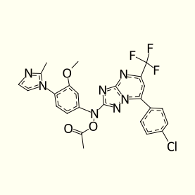 COc1cc(N(OC(C)=O)c2nc3nc(C(F)(F)F)cc(-c4ccc(Cl)cc4)n3n2)ccc1-n1ccnc1C